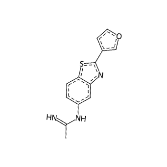 CC(=N)Nc1ccc2sc(-c3ccoc3)nc2c1